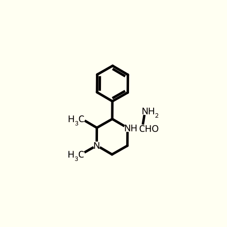 CC1C(c2ccccc2)NCCN1C.NC=O